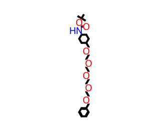 CC(C)(C)OC(=O)NC1CCC(COCCOCCOCCOCCOCc2ccccc2)CC1